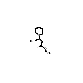 CCOC(=O)CC(C)N1CCCCC1